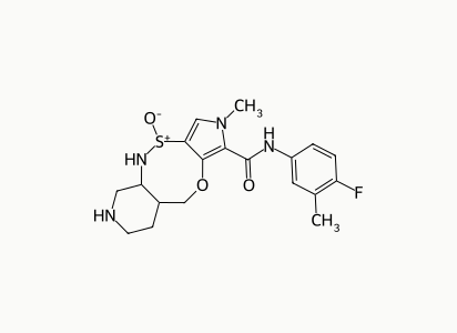 Cc1cc(NC(=O)c2c3c(cn2C)[S+]([O-])NC2CNCCC2CO3)ccc1F